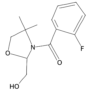 CC1(C)COC(CO)N1C(=O)c1ccccc1F